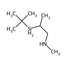 CNCC(C)[SiH2]C(C)(C)C